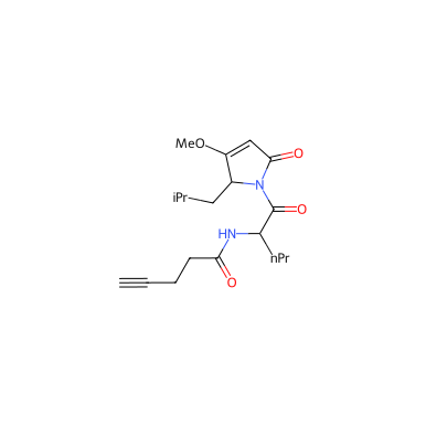 C#CCCC(=O)NC(CCC)C(=O)N1C(=O)C=C(OC)C1CC(C)C